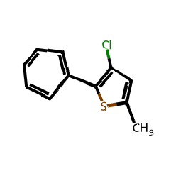 Cc1cc(Cl)c(-c2ccccc2)s1